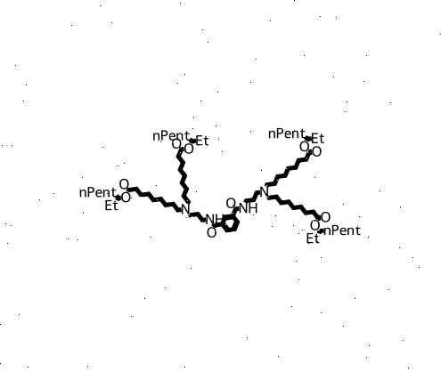 CCCCCC(CC)OC(=O)CCCCCCCCN(CCCCCCCCC(=O)OC(CC)CCCCC)CCCNC(=O)c1cccc(C(=O)NCCCN(CCCCCCCCC(=O)OC(CC)CCCCC)CCCCCCCCC(=O)OC(CC)CCCCC)c1